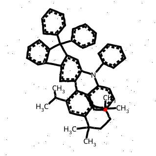 CC(C)c1cc2c(cc1-c1cc3c(cc1N(c1ccccc1)c1ccccc1)C(c1ccccc1)(c1ccccc1)c1ccccc1-3)C(C)(C)CCC2(C)C